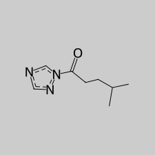 CC(C)CCC(=O)n1cncn1